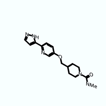 CNC(=O)N1CCC(COc2ccc(-c3ccn[nH]3)nc2)CC1